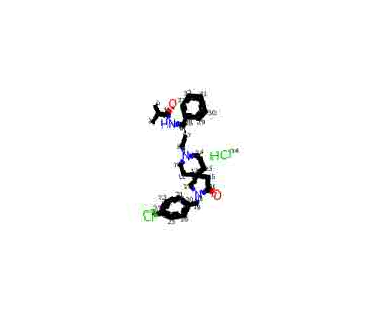 CC(C)C(=O)N[C@@H](CCN1CCC2(CC1)CC(=O)N(Cc1ccc(Cl)cc1)C2)c1ccccc1.Cl